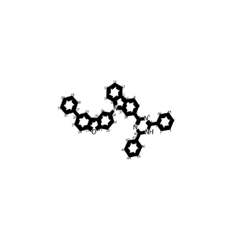 c1ccc(C2=NC(c3ccc4c5ccccc5n(-c5ccc6oc7ccc(-c8ccccc8)cc7c6c5)c4c3)=NC(c3ccccc3)N2)cc1